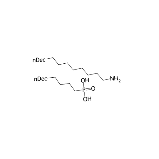 CCCCCCCCCCCCCCCCCCN.CCCCCCCCCCCCCCP(=O)(O)O